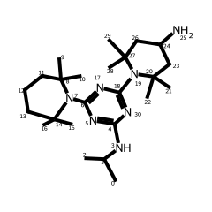 CC(C)Nc1nc(N2C(C)(C)CCCC2(C)C)nc(N2C(C)(C)CC(N)CC2(C)C)n1